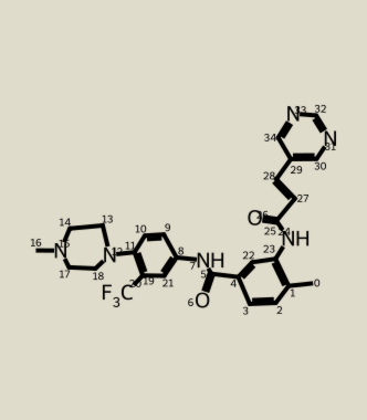 Cc1ccc(C(=O)Nc2ccc(N3CCN(C)CC3)c(C(F)(F)F)c2)cc1NC(=O)C=Cc1cncnc1